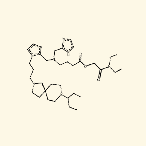 CCC(CC)N1CCC2(CCN(CCCn3ccnc3CN(CCCC(=O)OCC(=O)N(CC)CC)Cc3ncc[nH]3)C2)CC1